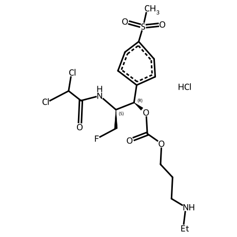 CCNCCCOC(=O)O[C@H](c1ccc(S(C)(=O)=O)cc1)[C@@H](CF)NC(=O)C(Cl)Cl.Cl